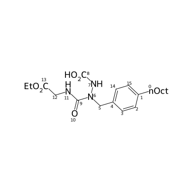 CCCCCCCCc1ccc(CN(NC(=O)O)C(=O)NCC(=O)OCC)cc1